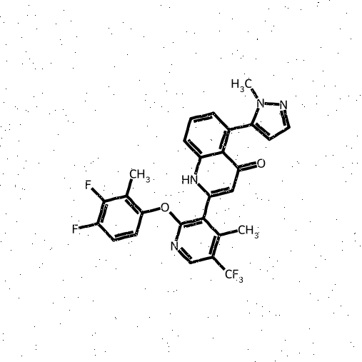 Cc1c(Oc2ncc(C(F)(F)F)c(C)c2-c2cc(=O)c3c(-c4ccnn4C)cccc3[nH]2)ccc(F)c1F